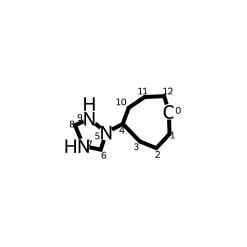 C1CCCC(N2CNCN2)CCC1